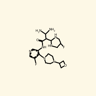 NC(N)C(C(=O)Nc1cncc(F)c1N1CCN(C2COC2)CC1)C1NCC(F)CN1